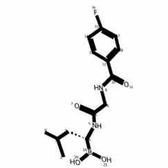 CC(C)C[C@H](NC(=O)CNC(=O)c1ccc(F)cc1)B(O)O